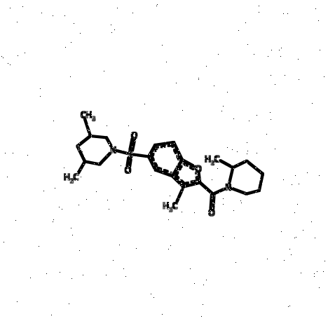 Cc1c(C(=O)N2CCCCC2C)oc2ccc(S(=O)(=O)N3CC(C)CC(C)C3)cc12